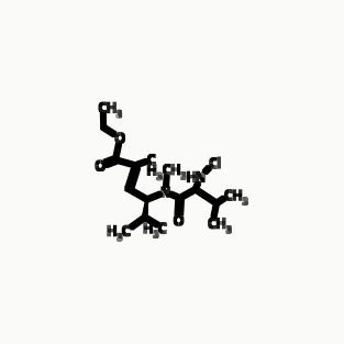 CCOC(=O)/C(C)=C/[C@H](C(C)C)N(C)C(=O)C(NCl)C(C)C